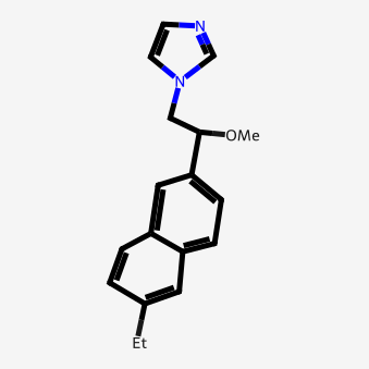 CCc1ccc2cc(C(Cn3ccnc3)OC)ccc2c1